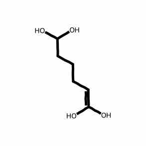 OC(O)=CCCCC(O)O